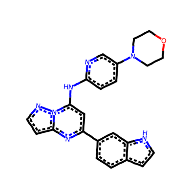 c1cc2nc(-c3ccc4cc[nH]c4c3)cc(Nc3ccc(N4CCOCC4)cn3)n2n1